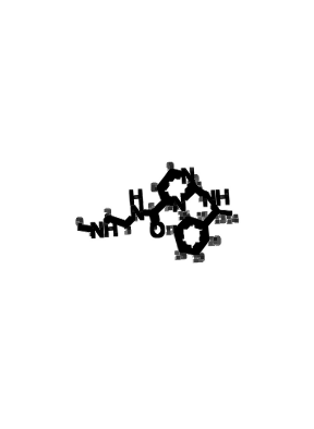 CNCCNC(=O)c1ccnc(N[C@@H](C)c2ccccc2)n1